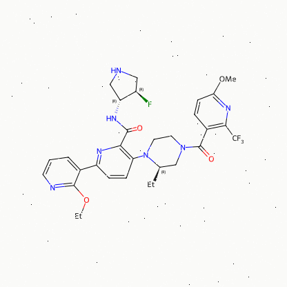 CCOc1ncccc1-c1ccc(N2CCN(C(=O)c3ccc(OC)nc3C(F)(F)F)C[C@H]2CC)c(C(=O)N[C@@H]2CNC[C@H]2F)n1